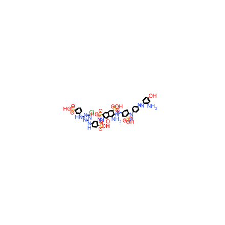 Nc1cc(O)ccc1/N=N/c1ccc(Nc2ccc(/N=N/c3c(S(=O)(=O)O)cc4cc(S(=O)(=O)O)c(/N=N/c5cc(Nc6nc(Cl)nc(Nc7cccc(S(=O)(=O)O)c7)n6)ccc5S(=O)(=O)O)c(O)c4c3N)cc2S(=O)(=O)O)cc1